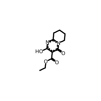 CCOC(=O)c1c(O)nc2n(c1=O)CCCC2